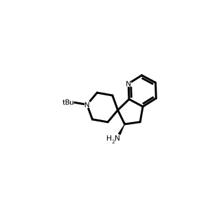 CC(C)(C)N1CCC2(CC1)c1ncccc1C[C@H]2N